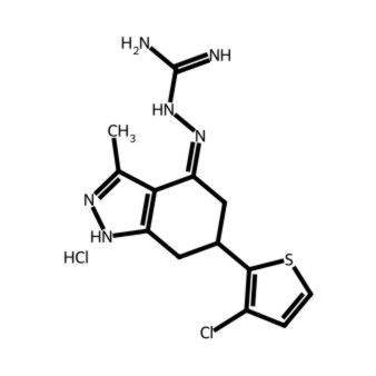 Cc1n[nH]c2c1/C(=N\NC(=N)N)CC(c1sccc1Cl)C2.Cl